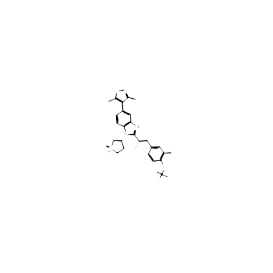 Cc1noc(C)c1-c1ccc2c(c1)nc([C@H](C)Cc1ccc(OC(F)(F)F)c(F)c1)n2[C@H]1CCS(=O)(=O)C1